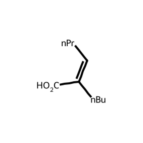 CCCC=C(CCCC)C(=O)O